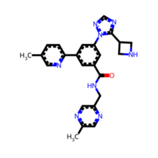 Cc1ccc(-c2cc(C(=O)NCc3cnc(C)cn3)cc(-n3ncnc3C3CNC3)c2)nc1